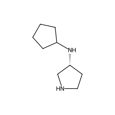 C1CCC(N[C@@H]2CCNC2)C1